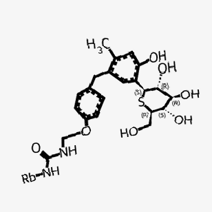 Cc1cc(O)c([C@@H]2S[C@H](CO)[C@@H](O)[C@H](O)[C@H]2O)cc1Cc1ccc(OCNC(=O)[NH][Rb])cc1